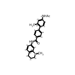 CC(=O)Nc1ccc(-c2ccc(C(=O)Nc3ccc4c(c3)N(C)CCC4)cc2)c(C)c1